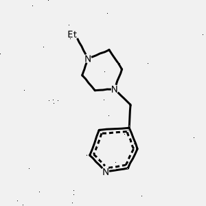 CCN1CCN(Cc2c[c]ncc2)CC1